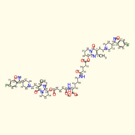 Cc1nc2n(c(=O)c1CCN1CCC(c3noc4cc(F)ccc34)CC1)CCCC2OC(=O)CCCC(=O)NCCCCC(NC(=O)CCCC(=O)OC1CCCn2c1nc(C)c(CCN1CCC(c3noc4cc(F)ccc34)CC1)c2=O)C(=O)O